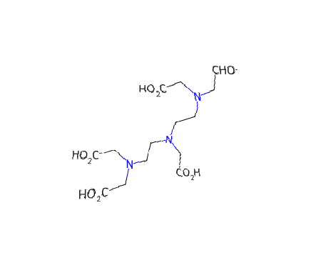 O=[C]CN(CCN(CCN(CC(=O)O)CC(=O)O)CC(=O)O)CC(=O)O